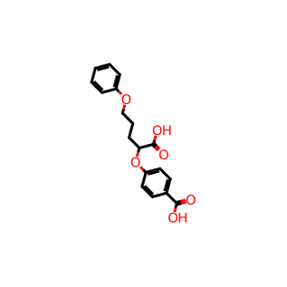 O=C(O)c1ccc(OC(CCCOc2ccccc2)C(=O)O)cc1